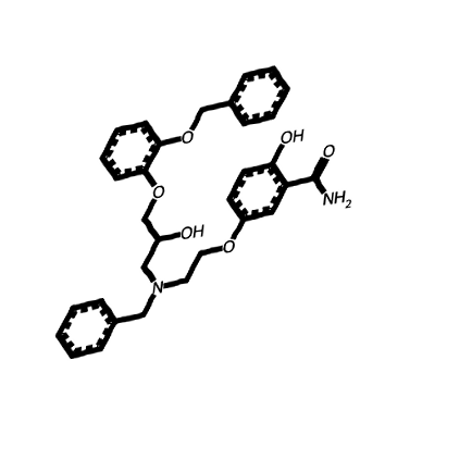 NC(=O)c1cc(OCCN(Cc2ccccc2)CC(O)COc2ccccc2OCc2ccccc2)ccc1O